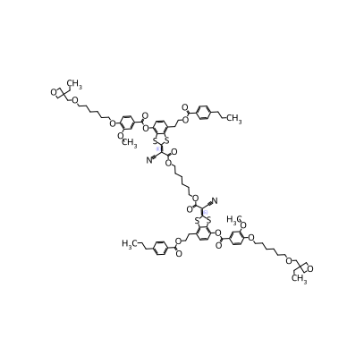 CCCc1ccc(C(=O)OCCc2ccc(OC(=O)c3ccc(OCCCCCCOCC4(CC)COC4)c(OC)c3)c3c2S/C(=C(/C#N)C(=O)OCCCCCCOC(=O)/C(C#N)=C2\Sc4c(CCOC(=O)c5ccc(CCC)cc5)ccc(OC(=O)c5ccc(OCCCCCCOCC6(CC)COC6)c(OC)c5)c4S2)S3)cc1